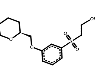 O=S(=O)(CCO)c1cccc(OC[C@@H]2CCCCO2)c1